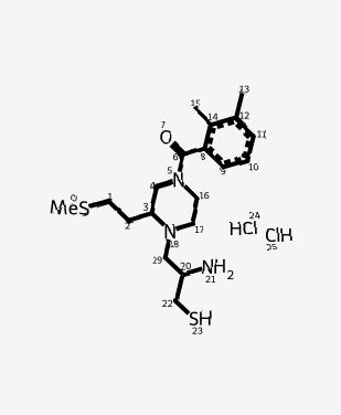 CSCCC1CN(C(=O)c2cccc(C)c2C)CCN1CC(N)CS.Cl.Cl